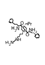 CC(C)C[C@@H]1CN(C(=O)C(N)CCc2ccccc2)[C@@H](CCCCNCCN)CN1C(=O)C(N)CCc1ccccc1